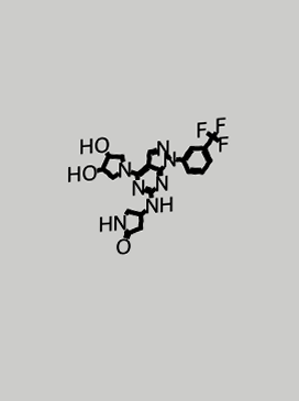 O=C1CC(Nc2nc(N3CC(O)C(O)C3)c3cnn(-c4cccc(C(F)(F)F)c4)c3n2)CN1